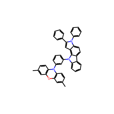 Cc1ccc2c(c1)Oc1cc(C)ccc1N2c1cccc(-n2c3ccccc3c3ccc4c(cc(-c5ccccc5)n4-c4ccccc4)c32)c1